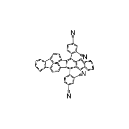 N#Cc1ccc(-c2c3c(c(-c4ccc(C#N)cc4C#N)c4cc5ccccc5cc24)-c2ccc4c5c(ccc-3c25)-c2ccccc2-4)c(C#N)c1